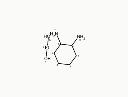 NC1CCCCC1N.[OH][Pt][OH]